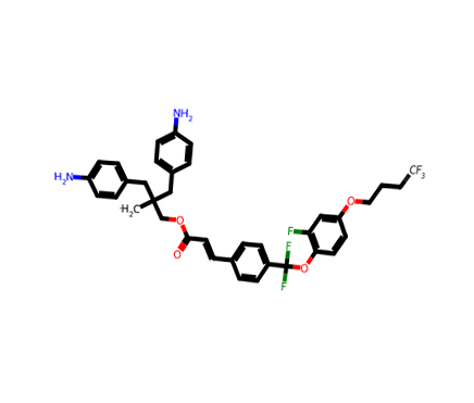 [CH2]C(COC(=O)/C=C/c1ccc(C(F)(F)Oc2ccc(OCCCC(F)(F)F)cc2F)cc1)(Cc1ccc(N)cc1)Cc1ccc(N)cc1